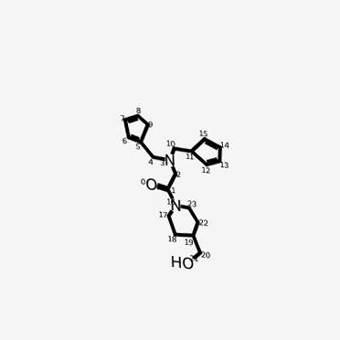 O=C(CN(CC1=CC=CC1)CC1C=CC=C1)N1CCC(CO)CC1